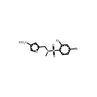 CCOC(=O)c1coc(CN(C)S(=O)(=O)c2ccc(Br)cc2CC)c1